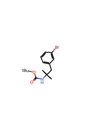 CC(C)(Cc1cccc(Br)c1)NC(=O)OC(C)(C)C